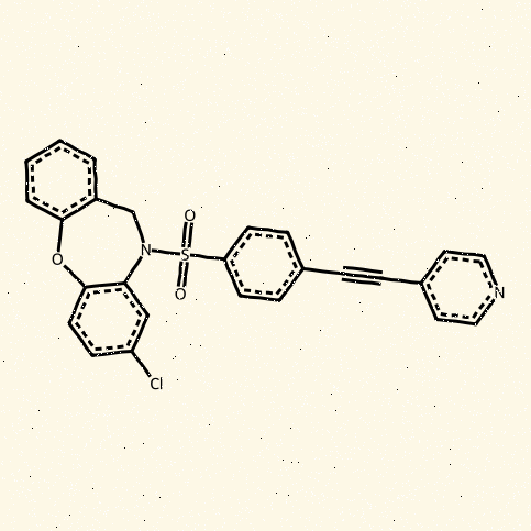 O=S(=O)(c1ccc(C#Cc2ccncc2)cc1)N1Cc2ccccc2Oc2ccc(Cl)cc21